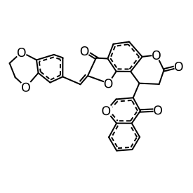 O=C1CC(c2coc3ccccc3c2=O)c2c(ccc3c2OC(=Cc2ccc4c(c2)OCCO4)C3=O)O1